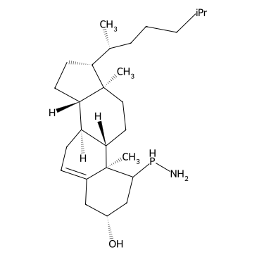 CC(C)CCC[C@@H](C)[C@H]1CC[C@H]2[C@@H]3CC=C4C[C@@H](O)CC(PN)[C@]4(C)[C@H]3CC[C@]12C